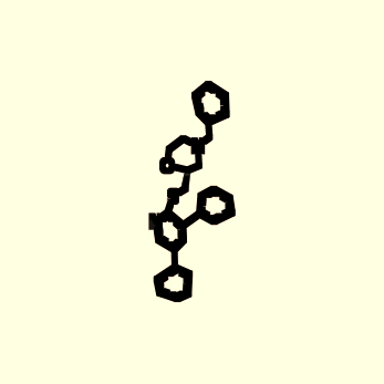 c1ccc(CN2CCO[C@H](CSc3ncc(-c4ccccc4)cc3-c3ccccc3)C2)cc1